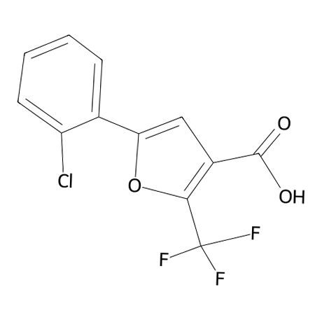 O=C(O)c1cc(-c2ccccc2Cl)oc1C(F)(F)F